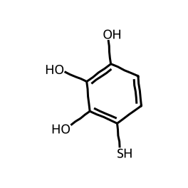 Oc1ccc(S)c(O)c1O